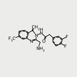 C=C1c2ccc(C(F)(F)F)cc2N=C(CN)N1NC(=O)Cc1ccc(F)c(F)c1